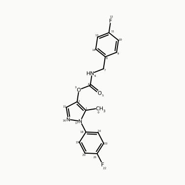 Cc1c(OC(=O)NCc2ccc(F)cc2)cnn1-c1ccc(F)cc1